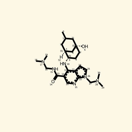 CC1C[C@H]2C[C@](O)(CC[C@@H]2Nc2c(C(=O)NCN(C)C)cnc3c2ccn3CN(C)C)C1